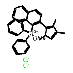 C[O][Ti+2]([c]1ccccc1)([c]1ccccc1)[c]1c(C2=C(C)C(C)=CC2C)ccc2ccccc12.[Cl-].[Cl-]